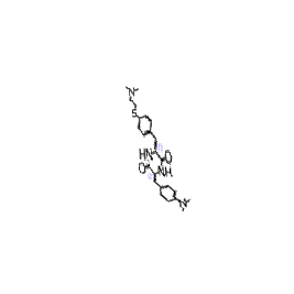 CN(C)CCSc1ccc(/C=c2\[nH]c(=O)/c(=C/c3ccc(N(C)C)cc3)[nH]c2=O)cc1